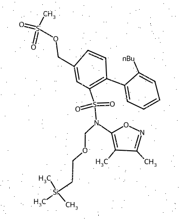 CCCCc1ccccc1-c1ccc(COS(C)(=O)=O)cc1S(=O)(=O)N(COCC[Si](C)(C)C)c1onc(C)c1C